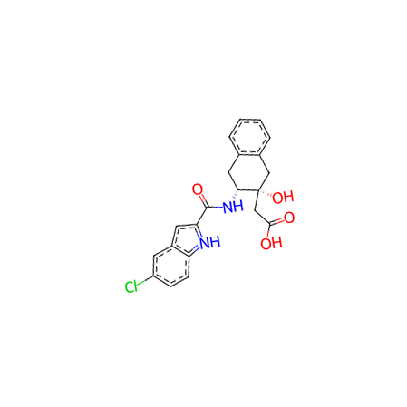 O=C(O)C[C@]1(O)Cc2ccccc2C[C@H]1NC(=O)c1cc2cc(Cl)ccc2[nH]1